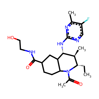 CC[C@H]1[C@H](C)[C@@H](Nc2ncc(F)c(C)n2)C2CC(C(=O)NCCO)CCC2N1C(C)=O